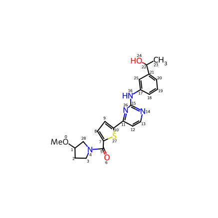 COC1CCN(C(=O)c2ccc(-c3ccnc(Nc4cccc(C(C)O)c4)n3)s2)C1